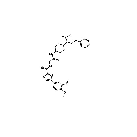 COc1ccc(-c2noc(C(=O)NCC(=O)NC3CCC(C(CCc4ccccc4)N(C)C)CC3)n2)cc1OC